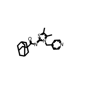 Cc1sc(=NC(=O)C23CC4CC(CC(C4)C2)C3)n(Cc2ccncc2)c1C